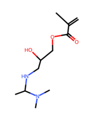 C=C(C)C(=O)OCC(O)CNC(C)N(C)C